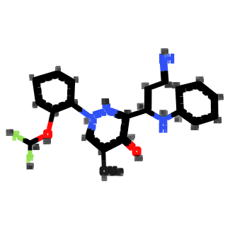 COc1cn(-c2ccccc2OC(F)F)nc(/C(=C/C=N)Nc2ccccc2)c1=O